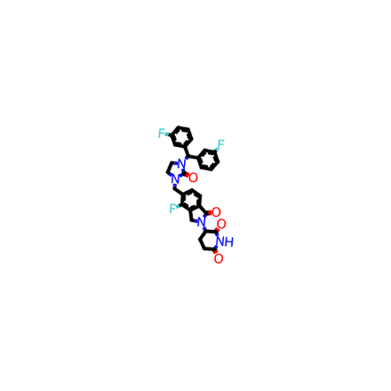 O=C1CCC(N2Cc3c(ccc(CN4CCN(C(c5cccc(F)c5)c5cccc(F)c5)C4=O)c3F)C2=O)C(=O)N1